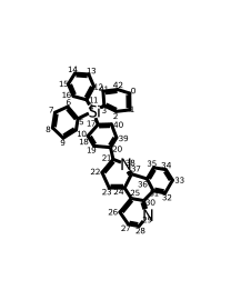 c1ccc([Si](c2ccccc2)(c2ccccc2)c2ccc(-c3ccc4c5cccnc5c5ccccc5c4n3)cc2)cc1